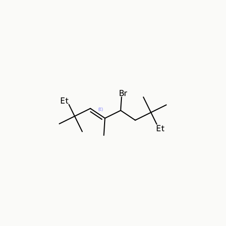 CCC(C)(C)/C=C(\C)C(Br)CC(C)(C)CC